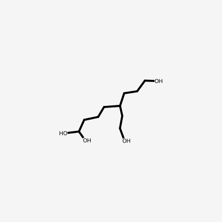 OCCCC(CCO)CCCC(O)O